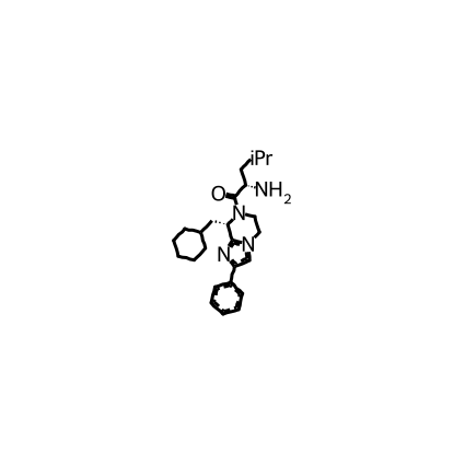 CC(C)C[C@H](N)C(=O)N1CCn2cc(-c3ccccc3)nc2[C@@H]1CC1CCCCC1